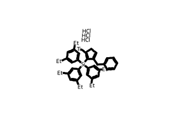 CCc1cc(CC)cc([Si](C2=[C]([Ti])CC=C2Cc2ccccc2)(c2cc(CC)cc(CC)c2)c2cc(CC)cc(CC)c2)c1.Cl.Cl.Cl